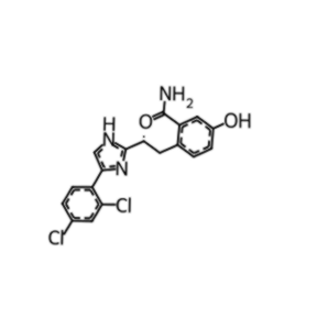 NC(=O)c1cc(O)ccc1C[CH]c1nc(-c2ccc(Cl)cc2Cl)c[nH]1